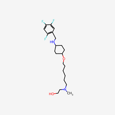 CN(CCO)CCCCCCOC1CCC(NCc2cc(F)c(F)cc2F)CC1